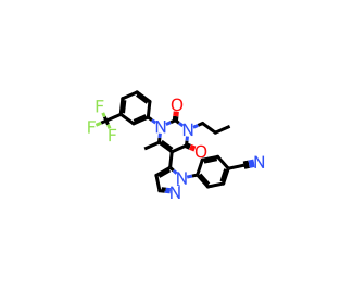 CCCn1c(=O)c(-c2ccnn2-c2ccc(C#N)cc2)c(C)n(-c2cccc(C(F)(F)F)c2)c1=O